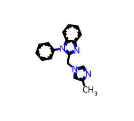 Cc1cn(Cc2nc3ccccc3n2-c2ccccc2)cn1